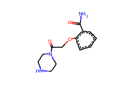 NC(=O)c1ccccc1OCC(=O)N1CCNCC1